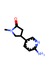 CN1CC(c2ccc(N)nc2)CC1=O